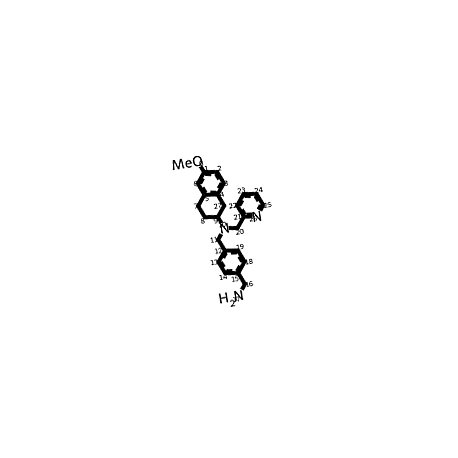 COc1ccc2c(c1)CCC(N(Cc1ccc(CN)cc1)Cc1ccccn1)C2